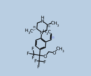 C/C=C\c1cc(C(OCOC)(C(F)(F)F)C(F)(F)F)ccc1N1C[C@H](C)NC[C@H]1C